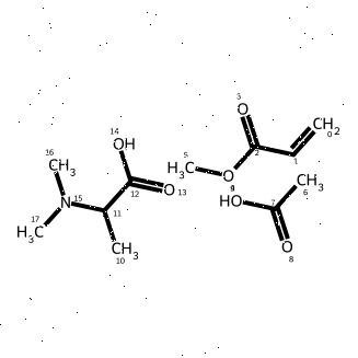 C=CC(=O)OC.CC(=O)O.CC(C(=O)O)N(C)C